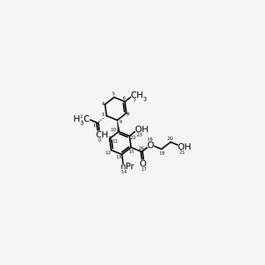 C=C(C)[C@@H]1CCC(C)=C[C@H]1c1ccc(CCC)c(C(=O)OCCO)c1O